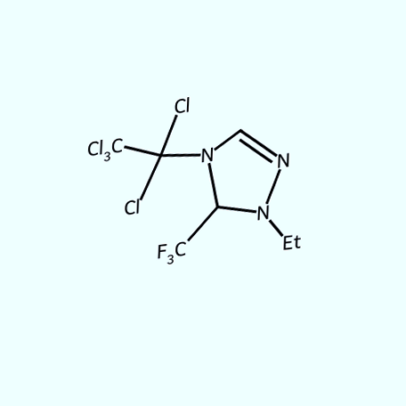 CCN1N=CN(C(Cl)(Cl)C(Cl)(Cl)Cl)C1C(F)(F)F